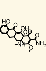 CN[C@]12CC(OC)=C(C(N)=O)C(=O)[C@@]1(O)C(O)=C1C(=O)c3c(O)cccc3CC1C2